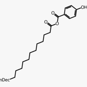 CCCCCCCCCCCCCCCCCCCCCC(=O)OC(=O)c1ccc(O)cc1